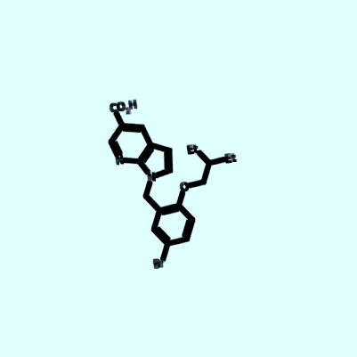 CCC(CC)COc1ccc(Br)cc1Cn1ccc2cc(C(=O)O)cnc21